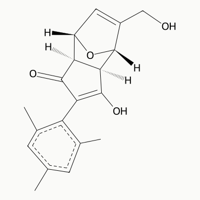 Cc1cc(C)c(C2=C(O)[C@H]3[C@@H](C2=O)[C@@H]2C=C(CO)[C@H]3O2)c(C)c1